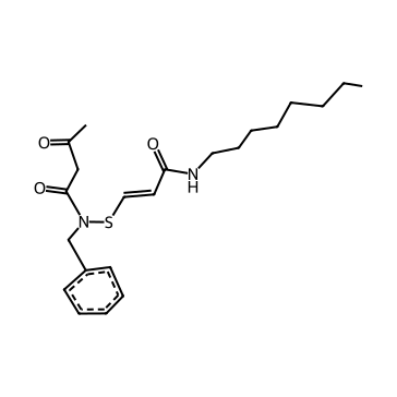 CCCCCCCCNC(=O)C=CSN(Cc1ccccc1)C(=O)CC(C)=O